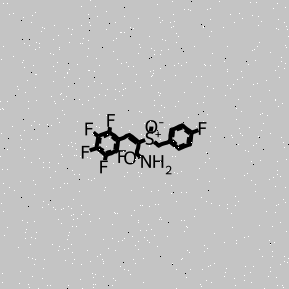 NC(=O)/C(=C\c1c(F)c(F)c(F)c(F)c1F)[S+]([O-])Cc1ccc(F)cc1